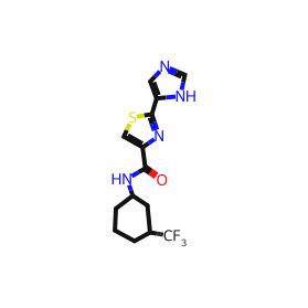 O=C(NC1CCCC(C(F)(F)F)C1)c1csc(-c2cnc[nH]2)n1